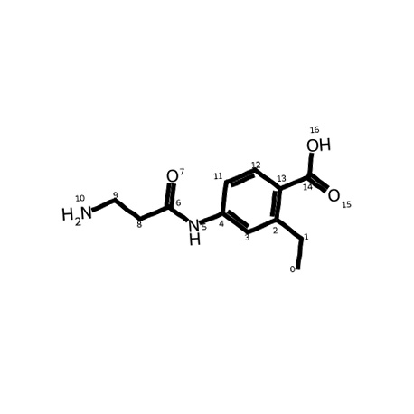 CCc1cc(NC(=O)CCN)ccc1C(=O)O